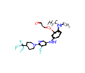 CN(C)c1ccc(Nc2cnc(N3CCC(C(F)(F)F)CC3)c(F)c2)cc1OCC=O